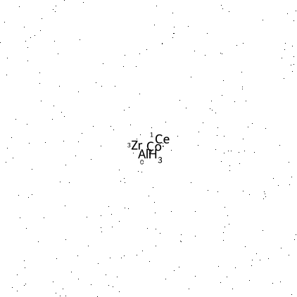 [AlH3].[Ce].[Co].[Zr]